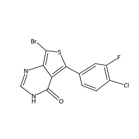 O=c1[nH]cnc2c(Br)sc(-c3ccc(Cl)c(F)c3)c12